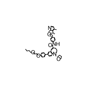 CCCCOCCOc1ccc(-c2ccc3c(c2)/C=C(/C(=O)Nc2ccc([S+]([O-])Cc4c(C)ccnc4C)cc2)CCCN3C[C@@H]2CCCO2)cc1